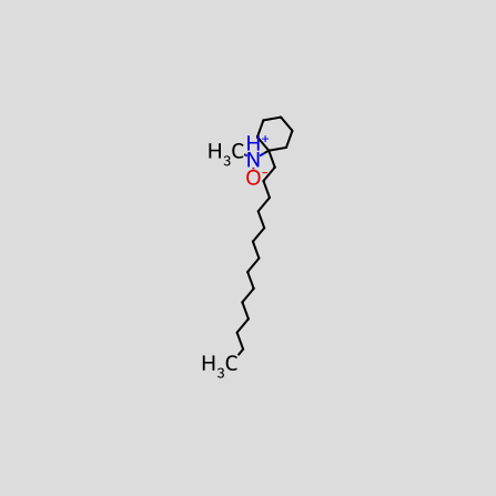 CCCCCCCCCCCCCCC1([NH+](C)[O-])CCCCC1